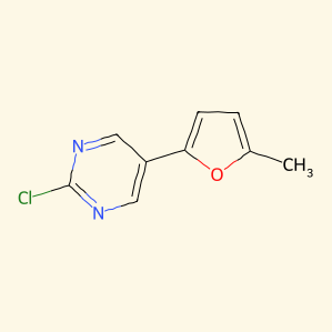 Cc1ccc(-c2cnc(Cl)nc2)o1